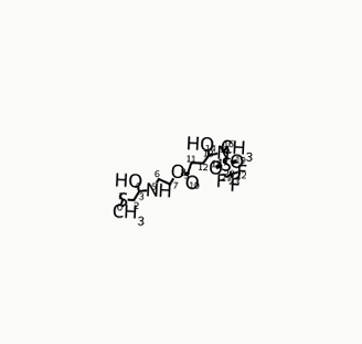 CSCC(O)NCCOC(=O)CCC(O)N(C)S(=O)(=O)C(F)(F)F